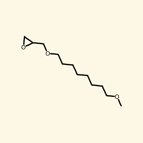 COCCCCCCCCOCC1CO1